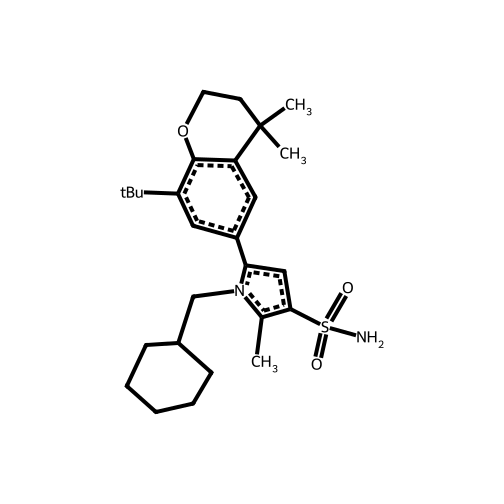 Cc1c(S(N)(=O)=O)cc(-c2cc(C(C)(C)C)c3c(c2)C(C)(C)CCO3)n1CC1CCCCC1